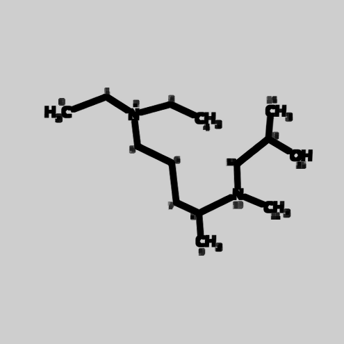 CCN(CC)CCCC(C)N(C)CC(C)O